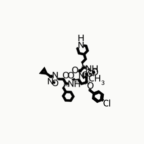 CS(=O)(=O)N[C@H](CCC1CCNCC1)C(=O)N1C[C@H](OCc2ccc(Cl)cc2)C[C@H]1C(=O)N[C@@H](CC1CCCCC1)C(=O)c1nc(C2CC2)no1